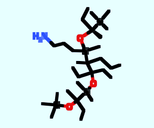 CCCC(C)(C(CC)(CC)O[Si](C)(C)C(C)(CC)O[Si](C)(C)C)[Si](C)(CCCN)O[C@](C)(CC)[Si](C)(C)C